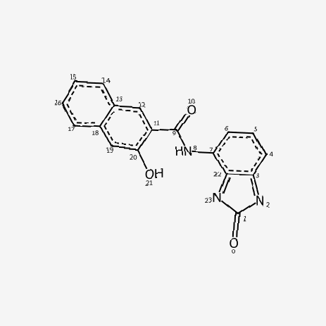 O=C1N=c2cccc(NC(=O)c3cc4ccccc4cc3O)c2=N1